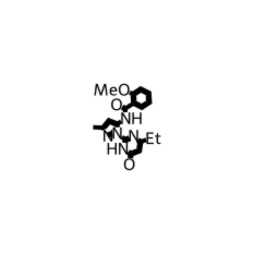 CCc1cc(=O)[nH]c(-n2nc(C)cc2NC(=O)c2ccccc2OC)n1